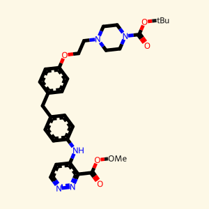 COOC(=O)c1nnccc1Nc1ccc(Cc2ccc(OCCN3CCN(C(=O)OC(C)(C)C)CC3)cc2)cc1